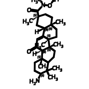 CC(C)ON(C)C(=O)[C@@]1(C)CC[C@]2(C)CC[C@]3(C)C(=CC(=O)[C@@H]4[C@@]5(C)CC[C@H](N)C(C)(C)C5CC[C@]43C)[C@@H]2C1